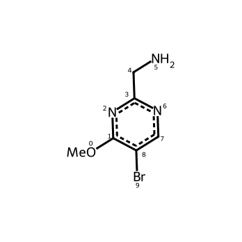 COc1nc(CN)ncc1Br